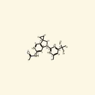 CC(=O)Nc1cc2c(cn1)C1(CC1)CN2c1nc(C)cc(C(C)(F)F)n1